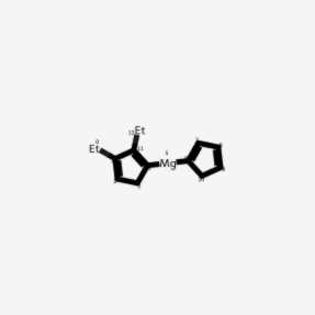 CCC1=CC[C]([Mg][C]2=CC=CC2)=C1CC